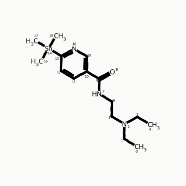 CCN(CC)CCNC(=O)c1cc[c]([Sn]([CH3])([CH3])[CH3])nc1